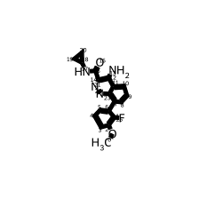 COc1cccc(-c2cccc3c(N)c(C(=O)NC4CC4)nnc23)c1F